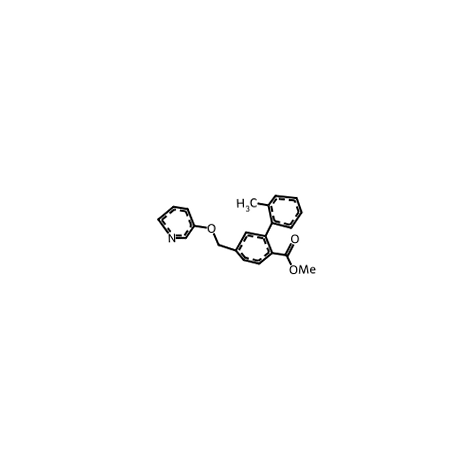 COC(=O)c1ccc(COc2cccnc2)cc1-c1ccccc1C